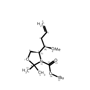 C=CC[C@@H](OC)[C@@H]1COC(C)(C)N1C(=O)OC(C)(C)C